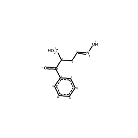 O=C(O)C(CC=NO)C(=O)c1ccccc1